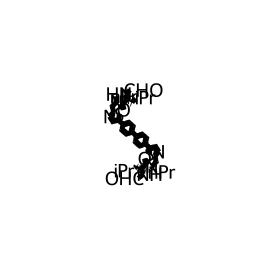 CCCN(Cc1ncc(-c2ccc(-c3ccc(-c4cnc(CN(CCC)C(=O)[C@H](CC(C)C)NC=O)s4)cc3)cc2)s1)C(=O)[C@H](CC(C)C)NC=O